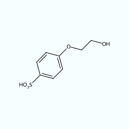 O=S(=O)(O)c1ccc(OCCO)cc1